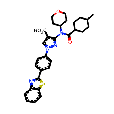 CC1CCC(C(=O)N(c2nn(-c3ccc(-c4nc5ccccc5s4)cc3)cc2C(=O)O)C2CCOCC2)CC1